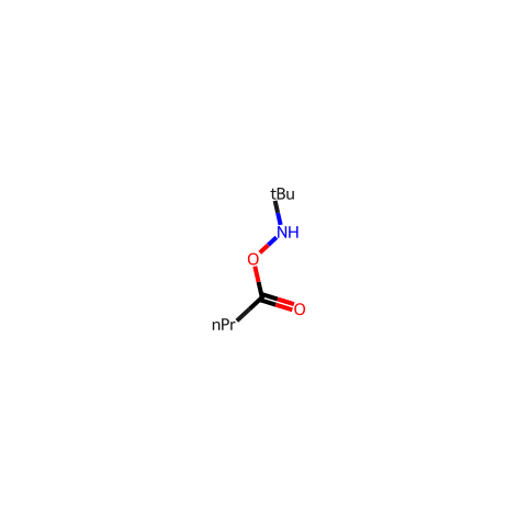 CCCC(=O)ONC(C)(C)C